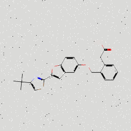 CC(C)(C)c1csc(-c2cc3cc(OCc4ccccc4CC(=O)O)ccc3o2)n1.Cl